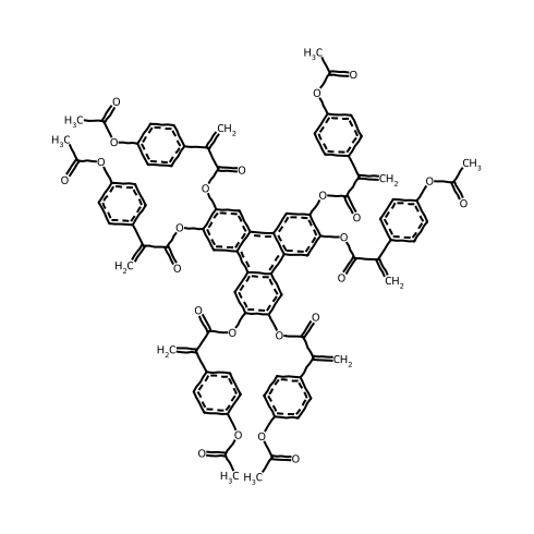 C=C(C(=O)Oc1cc2c3cc(OC(=O)C(=C)c4ccc(OC(C)=O)cc4)c(OC(=O)C(=C)c4ccc(OC(C)=O)cc4)cc3c3cc(OC(=O)C(=C)c4ccc(OC(C)=O)cc4)c(OC(=O)C(=C)c4ccc(OC(C)=O)cc4)cc3c2cc1OC(=O)C(=C)c1ccc(OC(C)=O)cc1)c1ccc(OC(C)=O)cc1